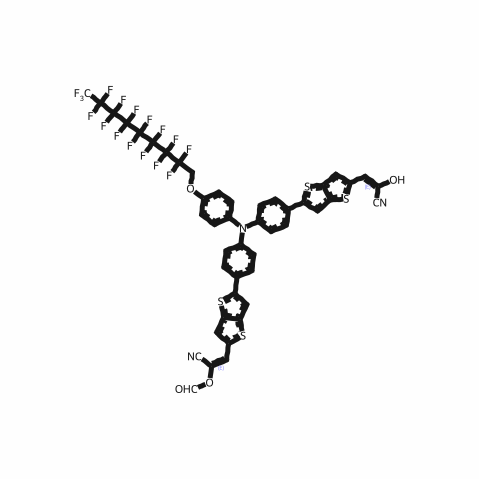 N#C/C(O)=C\c1cc2sc(-c3ccc(N(c4ccc(OCC(F)(F)C(F)(F)C(F)(F)C(F)(F)C(F)(F)C(F)(F)C(F)(F)C(F)(F)F)cc4)c4ccc(-c5cc6sc(/C=C(\C#N)OC=O)cc6s5)cc4)cc3)cc2s1